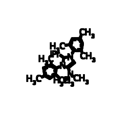 Cc1cc(C)c(N2C=C(N(C)C)N(c3c(C)cc(C)cc3C)C2C(C)C)c(C)c1